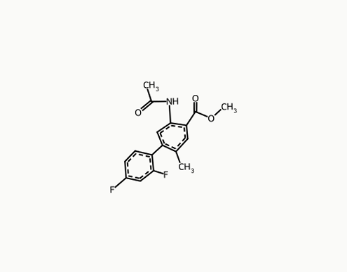 COC(=O)c1cc(C)c(-c2ccc(F)cc2F)cc1NC(C)=O